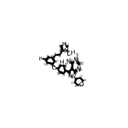 Cn1cncc1CCc1cc(F)cc(Oc2ccc(-c3nn(C4CCOCC4)c4ncnc(N)c34)cc2)c1